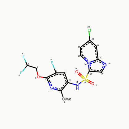 COc1nc(OCC(F)F)c(F)cc1NS(=O)(=O)c1cnc2cc(Cl)ccn12